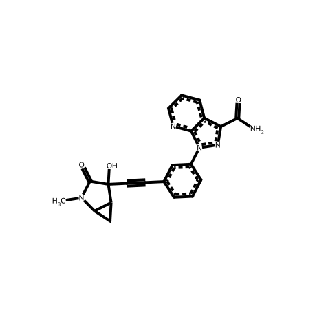 CN1C(=O)C(O)(C#Cc2cccc(-n3nc(C(N)=O)c4cccnc43)c2)C2CC21